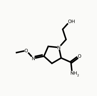 CON=C1CC(C(N)=O)N(CCO)C1